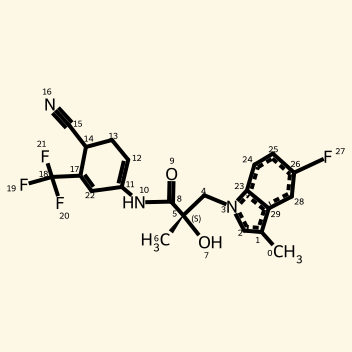 Cc1cn(C[C@](C)(O)C(=O)NC2=CCC(C#N)C(C(F)(F)F)=C2)c2ccc(F)cc12